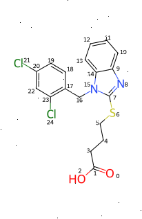 O=C(O)CCCSc1nc2ccccc2n1Cc1ccc(Cl)cc1Cl